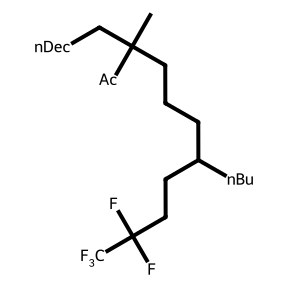 CCCCCCCCCCCC(C)(CCCC(CCCC)CCC(F)(F)C(F)(F)F)C(C)=O